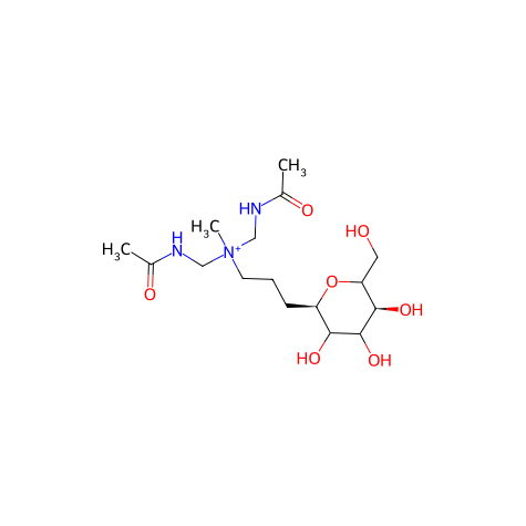 CC(=O)NC[N+](C)(CCC[C@H]1OC(CO)[C@@H](O)C(O)C1O)CNC(C)=O